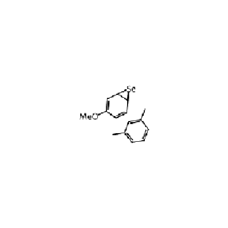 COC1=CC2[Se]C2C=C1.Cc1cccc(C)c1